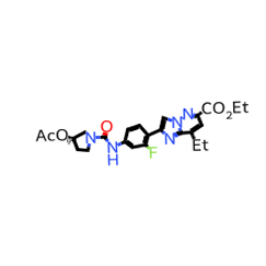 CCOC(=O)c1cc(CC)c2nc(-c3ccc(NC(=O)N4CC[C@@H](OC(C)=O)C4)cc3F)cn2n1